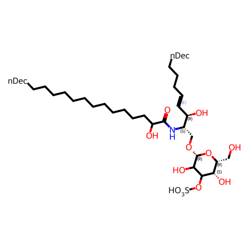 CCCCCCCCCCCCC/C=C/[C@@H](O)[C@H](CO[C@@H]1O[C@H](CO)[C@H](O)C(OS(=O)(=O)O)C1O)NC(=O)C(O)CCCCCCCCCCCCCCCCCCCCCC